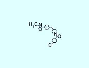 C[C@H]1COC(c2ccc(C=C3CCN(C(=O)c4ccc(Cl)cc4)CC3)cc2)=N1